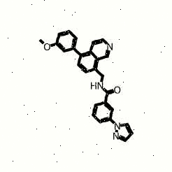 COc1cccc(-c2ccc(CNC(=O)c3cccc(-n4cccn4)c3)c3cnccc23)c1